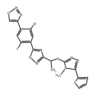 CC(Sc1nnc(-c2cccs2)n1C)c1noc(-c2cc(Cl)c(-c3conn3)cc2F)n1